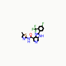 Cc1cnc(NC(=O)c2cncc3[nH]c(-c4ccc(F)cc4C(F)(F)F)nc23)s1